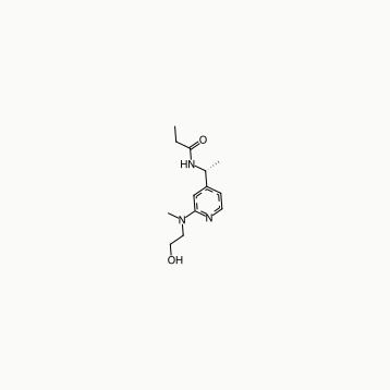 CCC(=O)N[C@H](C)c1ccnc(N(C)CCO)c1